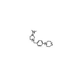 CN(C)[C@@H]1CCN(Cc2ccc(N3CCSCC3)cc2)C1